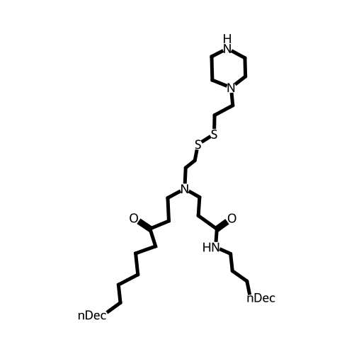 CCCCCCCCCCCCCCCC(=O)CCN(CCSSCCN1CCNCC1)CCC(=O)NCCCCCCCCCCCCC